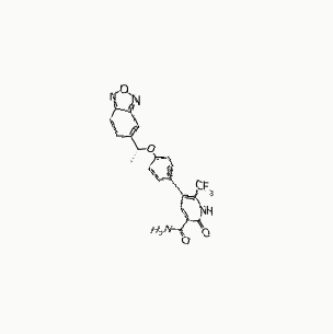 C[C@@H](Oc1ccc(-c2cc(C(N)=O)c(=O)[nH]c2C(F)(F)F)cc1)c1ccc2nonc2c1